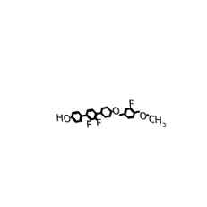 CCOCc1ccc(COC2CCC(c3ccc(-c4ccc(O)cc4)c(F)c3F)CC2)cc1F